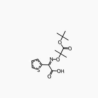 CC(C)(C)OC(=O)C(C)(C)ON=C(C(=O)O)c1cccs1